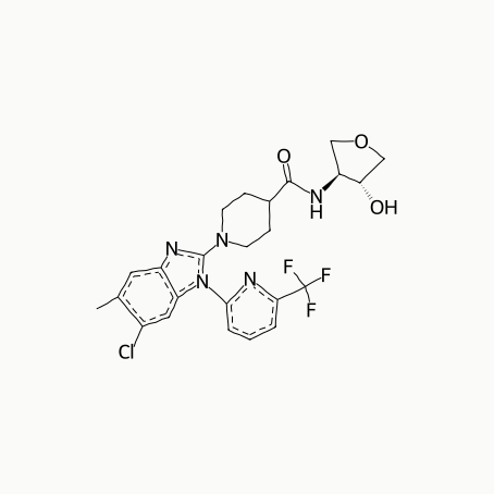 Cc1cc2nc(N3CCC(C(=O)N[C@H]4COC[C@@H]4O)CC3)n(-c3cccc(C(F)(F)F)n3)c2cc1Cl